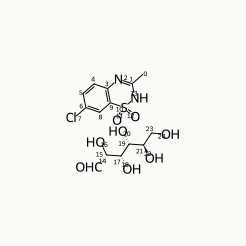 CC1=Nc2ccc(Cl)cc2S(=O)(=O)N1.O=C[C@H](O)[C@@H](O)[C@H](O)[C@H](O)CO